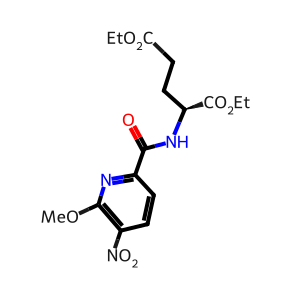 CCOC(=O)CC[C@H](NC(=O)c1ccc([N+](=O)[O-])c(OC)n1)C(=O)OCC